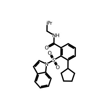 CC(C)CNC(=O)c1cccc(C2CCCC2)c1S(=O)(=O)n1ccc2ccccc21